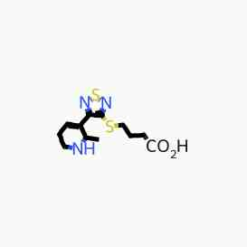 CC1NCCC=C1c1nsnc1SCCCC(=O)O